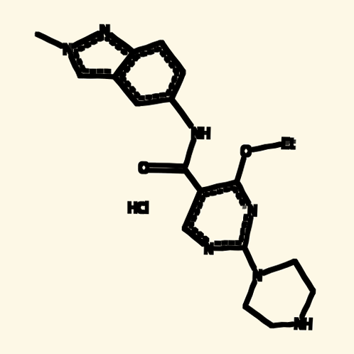 CCOc1nc(N2CCNCC2)ncc1C(=O)Nc1ccc2nn(C)cc2c1.Cl